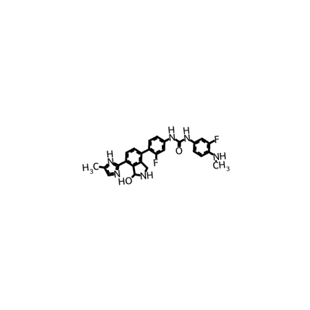 CNc1ccc(NC(=O)Nc2ccc(-c3ccc(-c4ncc(C)[nH]4)c4c3CNC4O)c(F)c2)cc1F